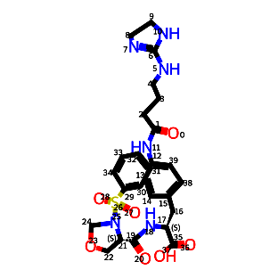 O=C(CCCNC1=NCCN1)Nc1ccc(C[C@H](NC(=O)[C@@H]2COCN2S(=O)(=O)c2ccccc2)C(=O)O)cc1